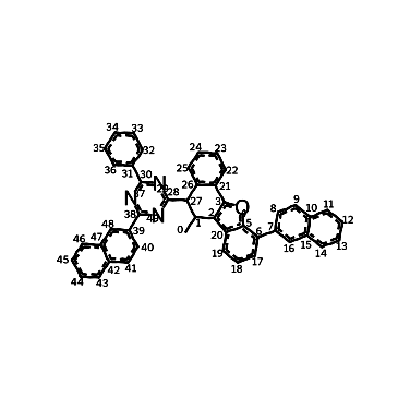 CC1c2c(oc3c(-c4ccc5ccccc5c4)cccc23)-c2ccccc2C1c1nc(-c2ccccc2)nc(-c2ccc3ccccc3c2)n1